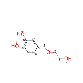 OCCOCc1ccc(O)c(O)c1